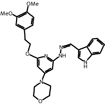 COc1ccc(CCOc2cc(N3CCOCC3)cc(N/N=C\c3c[nH]c4ccccc34)n2)cc1OC